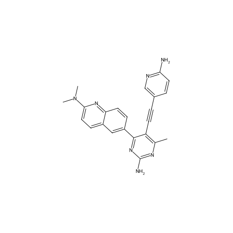 Cc1nc(N)nc(-c2ccc3nc(N(C)C)ccc3c2)c1C#Cc1ccc(N)nc1